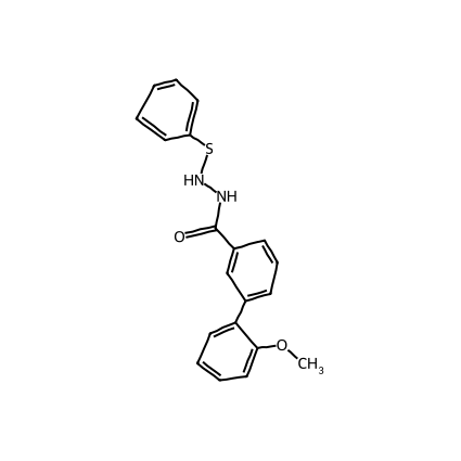 COc1ccccc1-c1cccc(C(=O)NNSc2ccccc2)c1